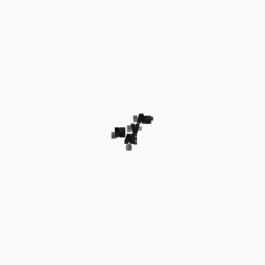 [Al].[Au].[Ni].[V]